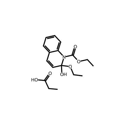 CCC(=O)O.CCOC(=O)N1c2ccccc2C=CC1(O)OCC